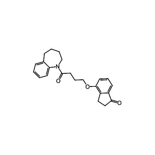 O=C1CCc2c(OCCCC(=O)N3CCCCc4ccccc43)cccc21